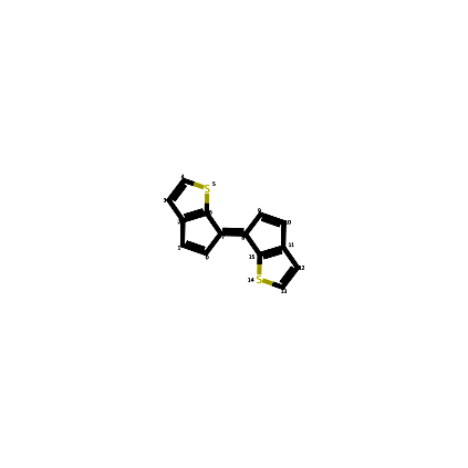 C1=Cc2ccsc2/C1=C1\C=Cc2ccsc21